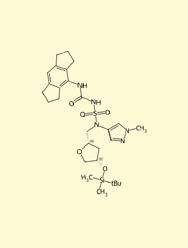 Cn1cc(N(C[C@@H]2C[C@H](O[Si](C)(C)C(C)(C)C)CO2)S(=O)(=O)NC(=O)Nc2c3c(cc4c2CCC4)CCC3)cn1